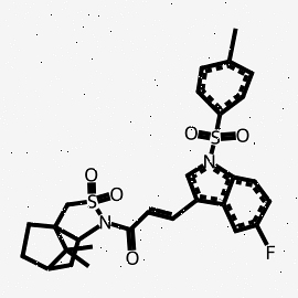 Cc1ccc(S(=O)(=O)n2cc(/C=C/C(=O)N3C4CC5CCC4(CS3(=O)=O)C5(C)C)c3cc(F)ccc32)cc1